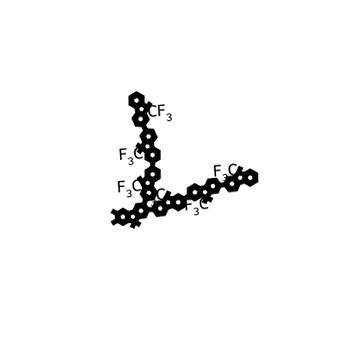 Cc1cc2c(cc1C)C(C)(C)c1cc(-c3ccc4c(c3)C(C)(C(F)(F)F)c3cc(-c5ccc6c(c5)C(C)(C(F)(F)F)c5cc(-c7ccc8c(c7)C(C)(C(F)(F)F)c7ccccc7-8)ccc5-6)ccc3-4)c(-c3ccc4c(c3)C(C)(C(F)(F)F)c3cc(-c5ccc6c(c5)C(C)(C(F)(F)F)c5cc(-c7ccc8c(c7)C(C)(C(F)(F)F)c7ccccc7-8)ccc5-6)ccc3-4)cc1-2